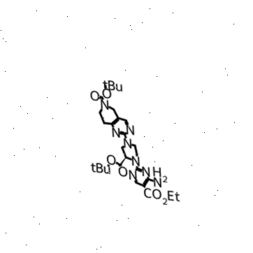 CCOC(=O)c1cnc(N2CCN(c3ncc4c(n3)CCN(C(=O)OC(C)(C)C)C4)C[C@@H]2C(=O)OC(C)(C)C)nc1N